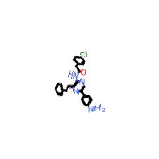 Nc1ccc(-c2cnc(NC(=O)Cc3ccc(Cl)cc3)c(CCc3ccccc3)n2)cc1